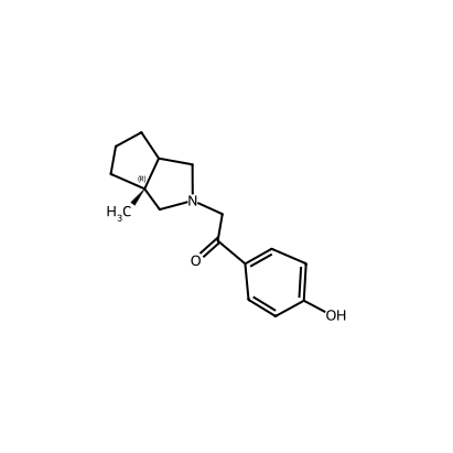 C[C@@]12CCCC1CN(CC(=O)c1ccc(O)cc1)C2